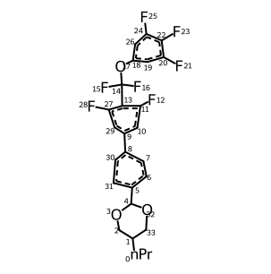 CCCC1COC(c2ccc(-c3cc(F)c(C(F)(F)Oc4cc(F)c(F)c(F)c4)c(F)c3)cc2)OC1